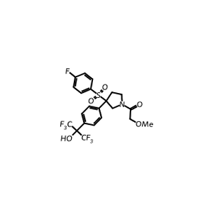 COCC(=O)N1CCC(c2ccc(C(O)(C(F)(F)F)C(F)(F)F)cc2)(S(=O)(=O)c2ccc(F)cc2)C1